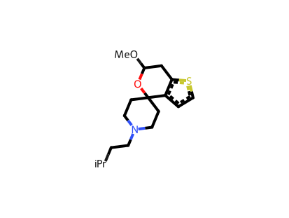 COC1Cc2sccc2C2(CCN(CCC(C)C)CC2)O1